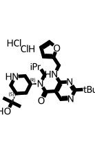 CC(C)CN(C(=O)c1cnc(C(C)(C)C)nc1NCc1ccco1)[C@H]1CNC[C@@H](C(C)(C)O)C1.Cl.Cl